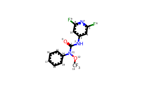 O=C(Nc1cc(F)nc(F)c1)N(OC(F)(F)F)c1ccccc1